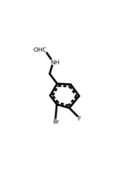 O=[C]NCc1ccc(F)c(Br)c1